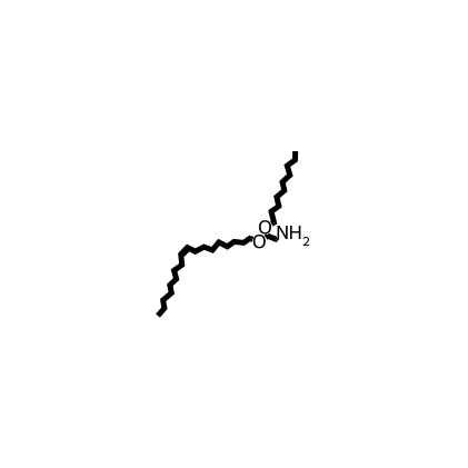 CCCCCCCC/C=C\CCCCCCCCOC(CN)OCCCCCCCCCC